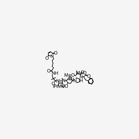 CCC(C)C(C(CC(=O)N1CCC[C@H]1C(OC)C(C)C(=O)NC(Cc1ccccc1)C(=O)OC)OC)N(C)C(=O)C(NC(=O)C(C)(C)CNC(=O)CCCCCN1C(=O)C=CC1=O)C(C)C